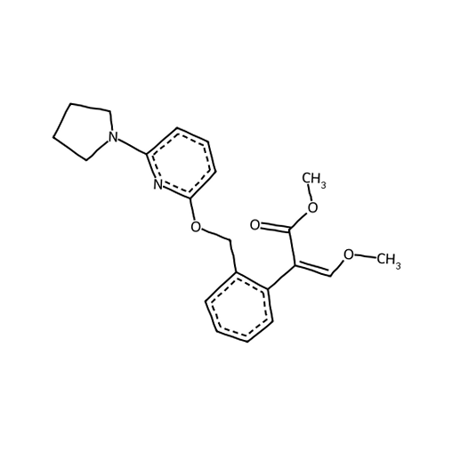 COC=C(C(=O)OC)c1ccccc1COc1cccc(N2CCCC2)n1